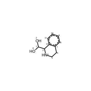 OC(O)C1NCCc2ccccc21